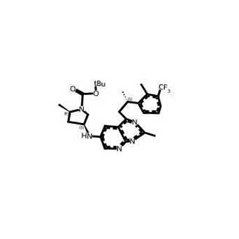 Cc1nc(C[C@H](C)c2cccc(C(F)(F)F)c2C)c2cc(N[C@H]3C[C@@H](C)N(C(=O)OC(C)(C)C)C3)cnc2n1